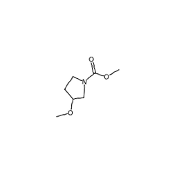 COC(=O)N1CCC(OC)C1